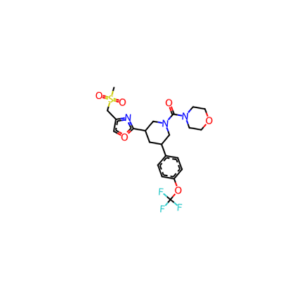 CS(=O)(=O)Cc1coc(C2CC(c3ccc(OC(F)(F)F)cc3)CN(C(=O)N3CCOCC3)C2)n1